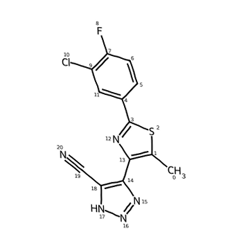 Cc1sc(-c2ccc(F)c(Cl)c2)nc1-c1nn[nH]c1C#N